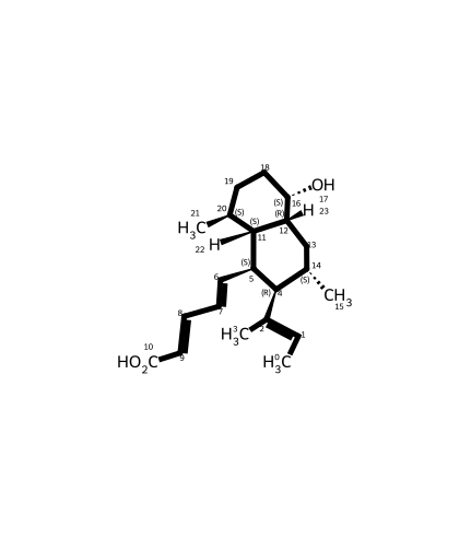 CC=C(C)[C@H]1[C@@H](C=CC=CC(=O)O)[C@H]2[C@@H](C[C@@H]1C)[C@@H](O)CC[C@@H]2C